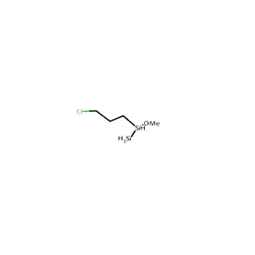 CO[SiH]([SiH3])CCCCl